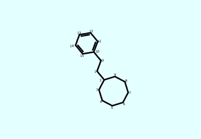 [CH](CC1CCCCCCC1)c1ccccc1